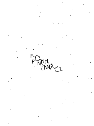 Cc1ccc(C2=[C]N(N3CCC[C@@]3(C)c3nc4c(F)c(F)ccc4[nH]3)C(C)S2)cc1